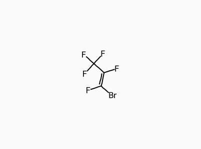 F/C(Br)=C(/F)C(F)(F)F